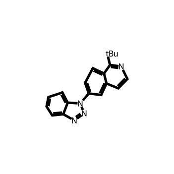 CC(C)(C)c1nccc2cc(-n3nnc4ccccc43)ccc12